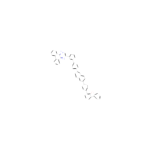 C1=CC(c2ccc3cc(-c4ccc(-c5cccc(-c6cnc7c8ccccc8c8ccccc8c7n6)c5)cc4)ccc3c2)CC=C1c1cccc2c1oc1ccccc12